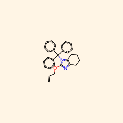 C=CCOc1nc2c(n1C(c1ccccc1)(c1ccccc1)c1ccccc1)CCCC2